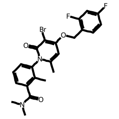 Cc1c(C(=O)N(C)C)cccc1-n1c(C)cc(OCc2ccc(F)cc2F)c(Br)c1=O